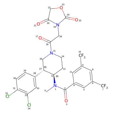 CN(C(=O)c1cc(C(F)(F)F)cc(C(F)(F)F)c1)[C@@H]1CCN(C(=O)CN2C(=O)COC2=O)C[C@H]1c1ccc(Cl)c(Cl)c1